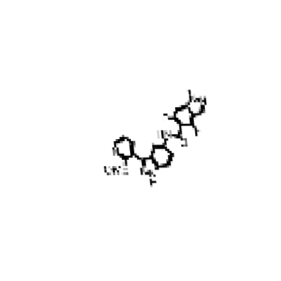 COc1ncccc1-c1n[nH]c2ccc(NC(=O)c3c(F)cc4c(cnn4C)c3F)cc12